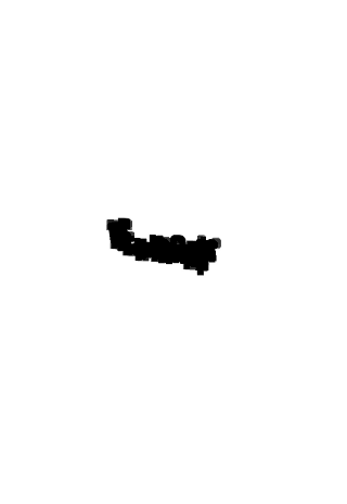 Cc1cn2cc(NC(=O)c3cnc(N4CC(CN5CC6C[C@]6(F)C5)C4)cn3)cc(F)c2n1